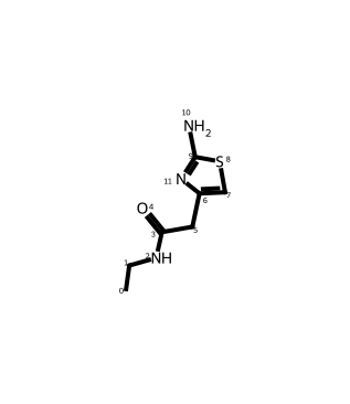 CCNC(=O)Cc1csc(N)n1